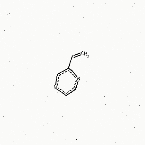 C=Cc1bccnc1